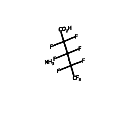 N.O=C(O)C(F)(F)C(F)(F)C(F)(F)C(F)(F)F